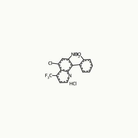 Cl.O=[N+]([O-])c1cc(Cl)c2c(C(F)(F)F)ccnc2c1-c1ccccc1O